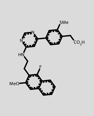 COc1cc2ccccc2c(F)c1CCNc1cc(-c2ccc(CC(=O)O)c(SC)c2)ncn1